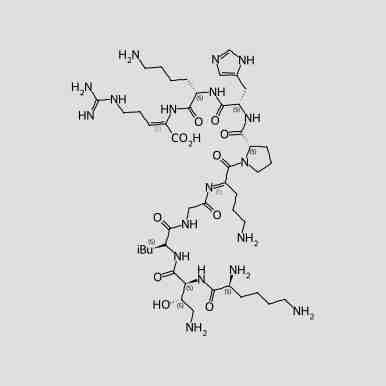 CC[C@H](C)C(NC(=O)[C@@H](NC(=O)[C@@H](N)CCCCN)[C@@H](O)CN)C(=O)NCC(=O)/N=C(\CCCN)C(=O)N1CCC[C@H]1C(=O)N[C@@H](Cc1cnc[nH]1)C(=O)N[C@@H](CCCCN)C(=O)N/C(=C\CCNC(=N)N)C(=O)O